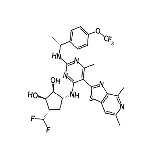 Cc1cc2sc(-c3c(C)nc(N[C@H](C)c4ccc(OC(F)(F)F)cc4)nc3N[C@@H]3C[C@H](C(F)F)[C@@H](O)[C@H]3O)nc2c(C)n1